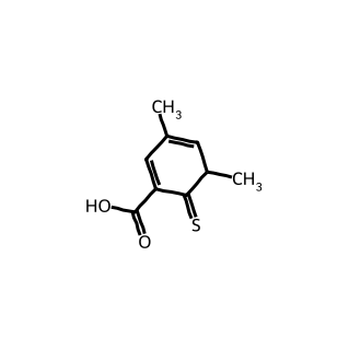 CC1=CC(C)C(=S)C(C(=O)O)=C1